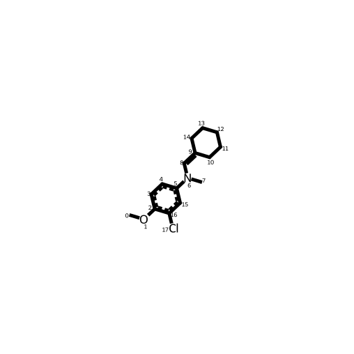 COc1ccc(N(C)C=C2CCCCC2)cc1Cl